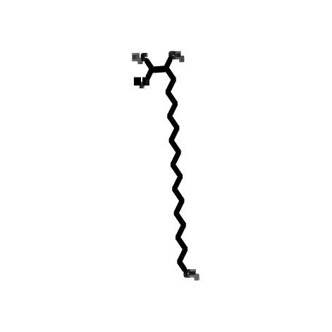 CCCCCCCCCCCCCCCCCC(C)=C(C)N